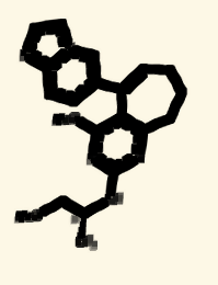 COC[C@@H](C)Nc1nc2c(c(OC)n1)C(c1ccc3nccn3c1)=CCCC2